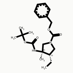 CC[C@H]1CN(C(=O)OCc2ccccc2)C[C@]1(C)NC(=O)OC(C)(C)C